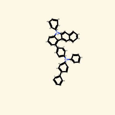 c1ccc(-c2ccc(N(c3ccccc3)c3ccc(-c4cccc5c4c4cc6ccccc6cc4n5-c4ccccc4)cc3)cc2)cc1